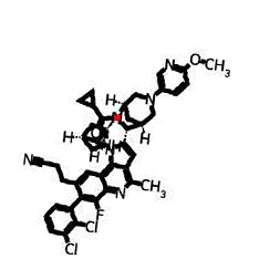 COc1ccc(N2C[C@@H]3C[C@H](C2)N(C(=O)C2CC2)[C@H]3c2cc3c(C)nc4c(F)c(-c5cccc(Cl)c5Cl)c(CCC#N)cc4c3n2[C@H]2[C@H]3CN[C@@H]2C3)cn1